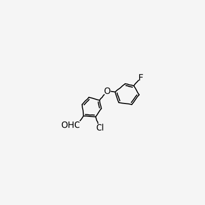 O=Cc1ccc(Oc2cccc(F)c2)cc1Cl